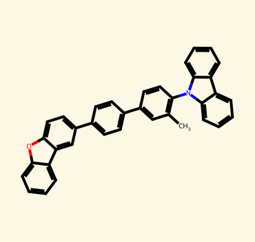 Cc1cc(-c2ccc(-c3ccc4oc5ccccc5c4c3)cc2)ccc1-n1c2ccccc2c2ccccc21